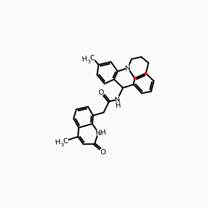 Cc1ccc(C(NC(=O)Cc2cccc3c(C)cc(=O)[nH]c23)c2ccccc2)c(N2CCCCC2)c1